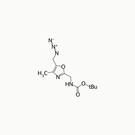 Cc1nc(CNC(=O)OC(C)(C)C)oc1CN=[N+]=[N-]